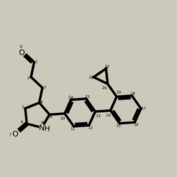 O=CCCC1CC(=O)NC1c1ccc(-c2ccccc2C2CC2)cc1